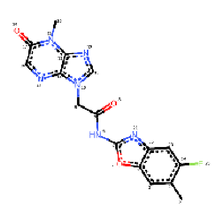 Cc1cc2oc(NC(=O)Cn3cnc4c3ncc(=O)n4C)nc2cc1F